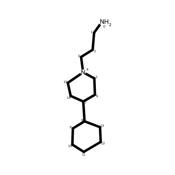 NCCCN1CCC(C2CCCCC2)CC1